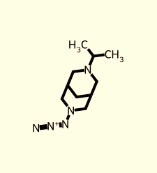 CC(C)N1CC2CC(CN(N=[N+]=[N-])C2)C1